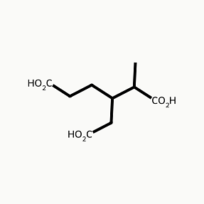 CC(C(=O)O)C(CCC(=O)O)CC(=O)O